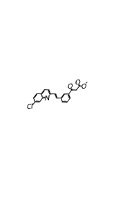 COC(=O)CC(=O)c1cccc(C=Cc2ccc3ccc(Cl)cc3n2)c1